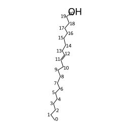 CCCCCCCCCCCC=CCCCCCCCO